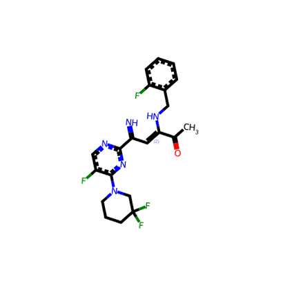 CC(=O)/C(=C/C(=N)c1ncc(F)c(N2CCCC(F)(F)C2)n1)NCc1ccccc1F